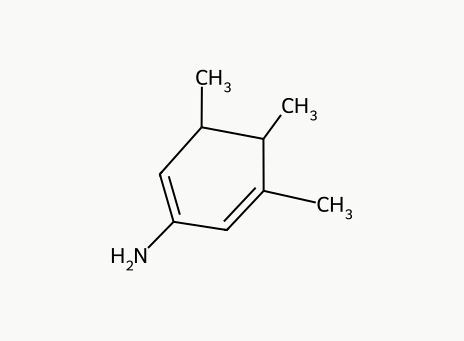 CC1=CC(N)=CC(C)C1C